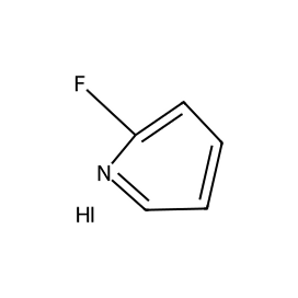 Fc1ccccn1.I